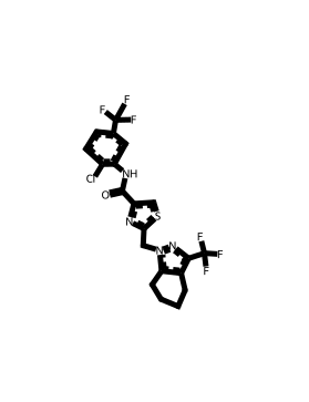 O=C(Nc1cc(C(F)(F)F)ccc1Cl)c1csc(Cn2nc(C(F)(F)F)c3c2CCCC3)n1